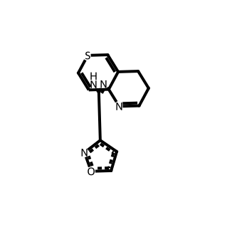 C1=NC23N=C(c4ccon4)NC2=CSC=C3CC1